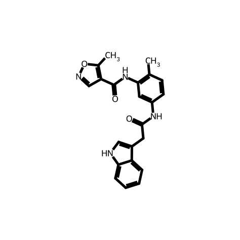 Cc1ccc(NC(=O)Cc2c[nH]c3ccccc23)cc1NC(=O)c1cnoc1C